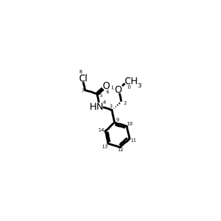 COC[C@@H](NC(=O)CCl)c1ccccc1